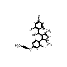 CC#COc1ccc(-c2c(C(O)c3c(F)cc(F)cc3F)c(C)nn2C)c(F)c1